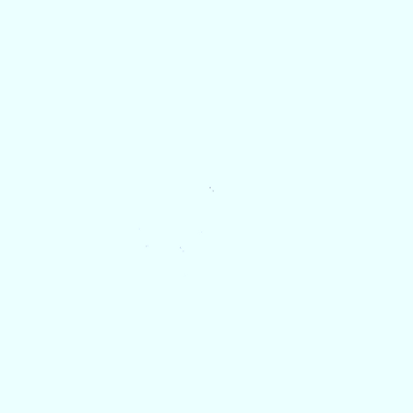 O=C(O)[C@H]1CCCN1C(=O)Cc1ccccc1Nc1c(Cl)cccc1Cl